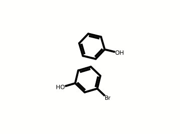 Oc1cccc(Br)c1.Oc1ccccc1